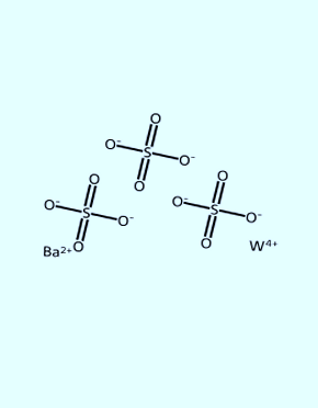 O=S(=O)([O-])[O-].O=S(=O)([O-])[O-].O=S(=O)([O-])[O-].[Ba+2].[W+4]